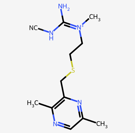 Cc1cnc(C)c(CSCC[N+](C)=C(N)NC#N)n1